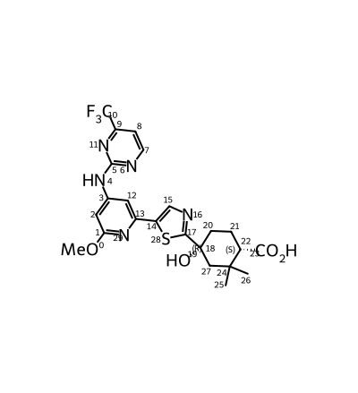 COc1cc(Nc2nccc(C(F)(F)F)n2)cc(-c2cnc([C@@]3(O)CC[C@H](C(=O)O)C(C)(C)C3)s2)n1